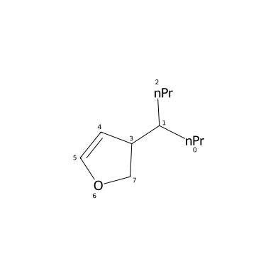 CCCC(CCC)C1C=COC1